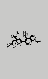 CCn1ncc2c(N)c(C3=NOC(CC(=O)OC)(C(=O)OC)C3)cnc21